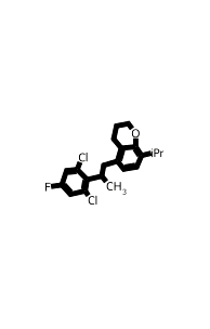 CC(C)c1ccc(CC(C)c2c(Cl)cc(F)cc2Cl)c2c1OCCC2